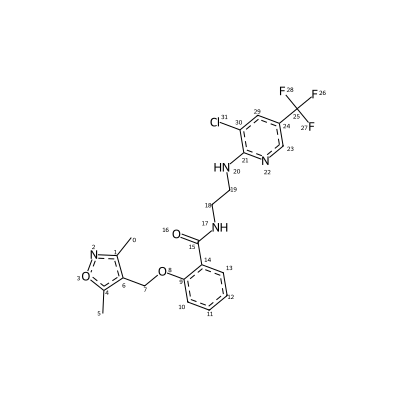 Cc1noc(C)c1COc1ccccc1C(=O)NCCNc1ncc(C(F)(F)F)cc1Cl